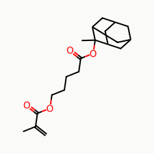 C=C(C)C(=O)OCCCCC(=O)OC1(C)C2CC3CC(C2)CC1C3